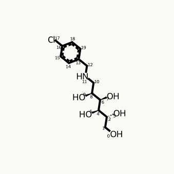 OC[C@@H](O)[C@@H](O)[C@H](O)[C@@H](O)CNCc1ccc(Cl)cc1